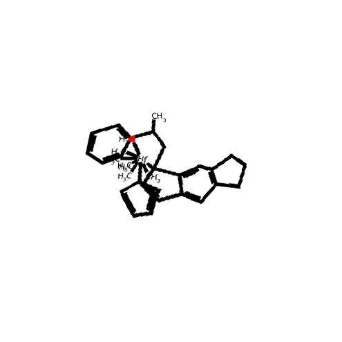 CC(C[C]1([Hf]([CH3])([CH3])([CH3])([CH3])([CH3])([CH3])([CH3])[CH]2C=CC=C2)C=Cc2cc3c(cc21)CCC3)c1ccccc1